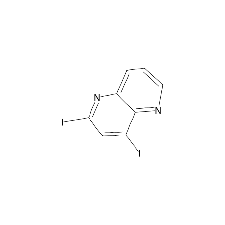 Ic1cc(I)c2ncccc2n1